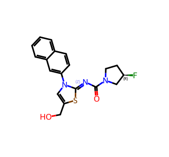 O=C(/N=c1\sc(CO)cn1-c1ccc2ccccc2c1)N1CC[C@@H](F)C1